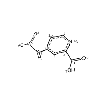 O=C(O)c1cc(N[N+](=O)[O-])ccn1